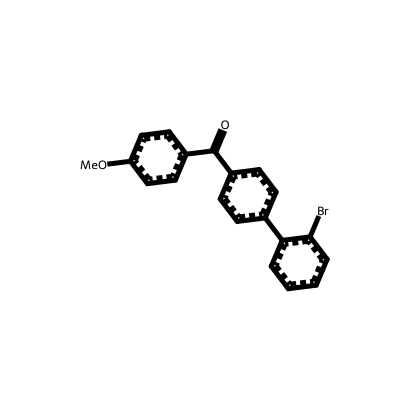 COc1ccc(C(=O)c2ccc(-c3ccccc3Br)cc2)cc1